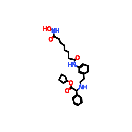 O=C(CCCCCCC(=O)Nc1cccc(CCNC(C(=O)OC2CCCC2)c2ccccc2)c1)NO